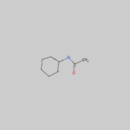 CC(=O)[N]C1[CH]CCCC1